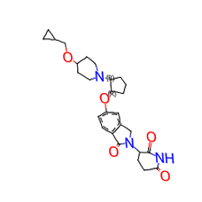 O=C1CCC(N2Cc3cc(O[C@@H]4CCC[C@H]4N4CCC(OCC5CC5)CC4)ccc3C2=O)C(=O)N1